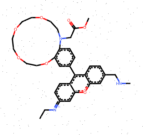 CC/N=c1\ccc2c(-c3ccc4c(c3)OCCOCCOCCOCCN4CC(=O)OC)c3ccc(CNC)cc3oc-2c1